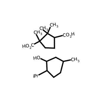 CC1(C(=O)O)CCC(C(=O)O)C1(C)C.CC1CCC(C(C)C)C(O)C1